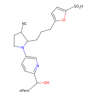 [C-]#[N+]C1CCN(c2ccc(C(O)CCCCC)nc2)C1CCCc1ccc(S(=O)(=O)O)o1